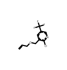 C=CCOCc1cc(C(F)(F)F)cnc1Cl